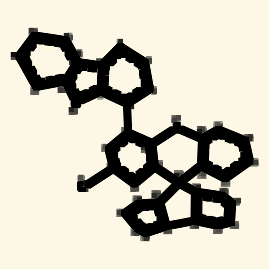 Clc1cc(-c2cccc3c2oc2ccccc23)c2c(c1)C1(c3ccccc3S2)c2ccccc2-c2ccccc21